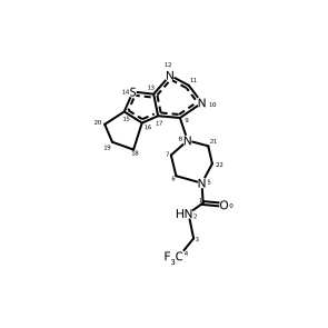 O=C(NCC(F)(F)F)N1CCN(c2ncnc3sc4c(c23)CCC4)CC1